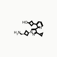 NC[C@H]1C[C@H](n2cc(-c3ncccc3C3CC(O)C3)c(C3CC3)n2)C1